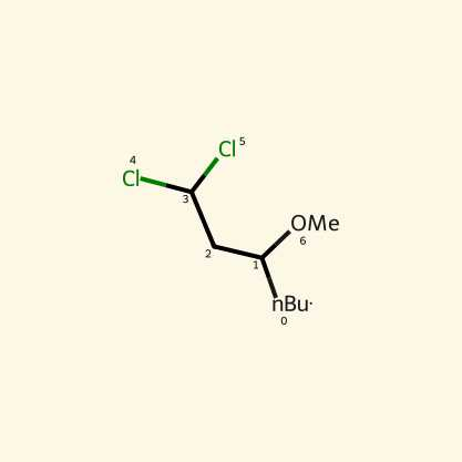 CCC[CH]C(CC(Cl)Cl)OC